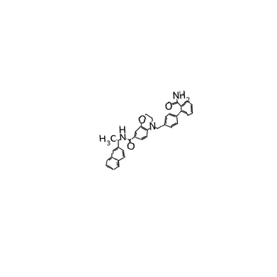 C[C@H](NC(=O)c1ccc2c(c1)OCCN2Cc1ccc(-c2ccccc2C(N)=O)cc1)c1ccc2ccccc2c1